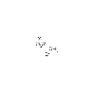 O.[AlH3].[Cr].[Y]